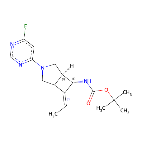 C/C=C1\C2CN(c3cc(F)ncn3)C[C@H]2[C@@H]1NC(=O)OC(C)(C)C